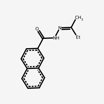 CC/C(C)=N\NC(=O)c1ccc2ccccc2c1